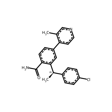 Cc1cnccc1-c1ccc(C(N)=O)c([C@H](C)c2ccc(Cl)cc2)c1